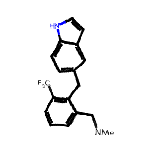 CNCc1cccc(C(F)(F)F)c1Cc1ccc2[nH]ccc2c1